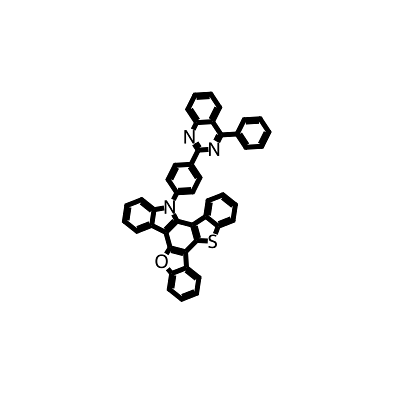 c1ccc(-c2nc(-c3ccc(-n4c5ccccc5c5c6oc7ccccc7c6c6sc7ccccc7c6c54)cc3)nc3ccccc23)cc1